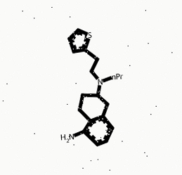 CCCN(CCc1cccs1)C1CCc2c(N)cccc2C1